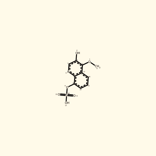 COc1c(O)cnc2c(OS(=O)(=O)O)cccc12